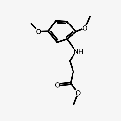 COC(=O)CCNc1cc(OC)ccc1OC